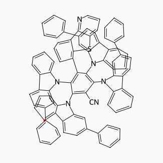 N#Cc1c(-n2c3ccccc3c3ccc(-c4ccccc4)cc32)c(-n2c3ccccc3c3ccc(-c4ccccc4)cc32)c(-c2cccc3c2sc2cccnc23)c(-n2c3ccccc3c3ccc(-c4ccccc4)cc32)c1-n1c2ccccc2c2ccc(-c3ccccc3)cc21